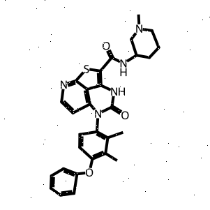 Cc1c(Oc2ccccc2)ccc(N2C(=O)Nc3c(C(=O)NC4CCCN(C)C4)sc4nccc2c34)c1C